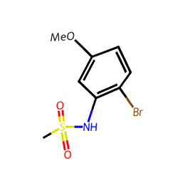 COc1ccc(Br)c(NS(C)(=O)=O)c1